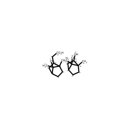 CC1(C)C2CCC1(C)C(CC(=O)O)C2.CC1(C)C2CCC1(C)C(O)C2